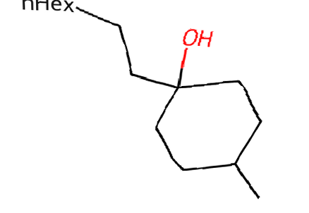 CCCCCCCCC1(O)CCC(C)CC1